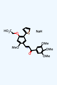 COc1cc(OCC(=O)O)c(-c2cccs2)cc1/C=C/C(=O)c1cc(OC)c(OC)c(OC)c1.[NaH]